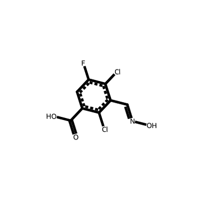 O=C(O)c1cc(F)c(Cl)c(C=NO)c1Cl